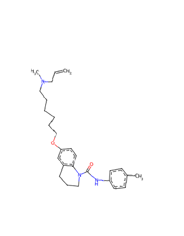 C=CCN(C)CCCCCCOc1ccc2c(c1)CCCN2C(=O)Nc1ccc(C)cc1